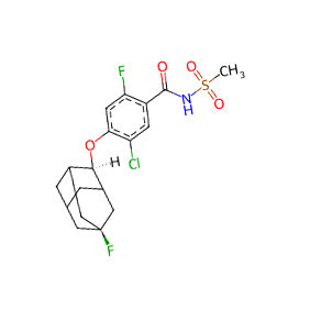 CS(=O)(=O)NC(=O)c1cc(Cl)c(O[C@H]2C3CC4CC2C[C@@](F)(C4)C3)cc1F